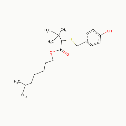 CC(C)CCCCCOC(=O)C(SCc1ccc(O)cc1)C(C)(C)C